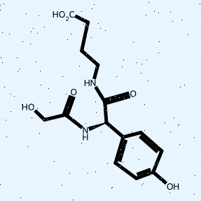 O=C(O)CCCNC(=O)[C@H](NC(=O)CO)c1ccc(O)cc1